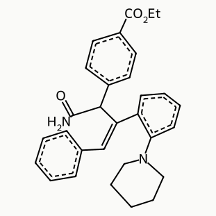 CCOC(=O)c1ccc(C(C(N)=O)C(=Cc2ccccc2)c2ccccc2N2CCCCC2)cc1